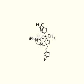 Cc1ccc(C(C)(C)N2CCC(CCc3ccc(F)s3)(CN3CCN(C(C)C)CC3)C2)cn1